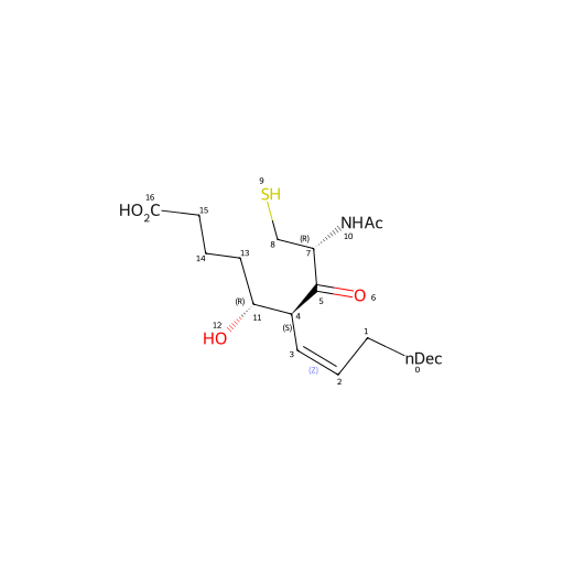 CCCCCCCCCCC/C=C\[C@H](C(=O)[C@H](CS)NC(C)=O)[C@H](O)CCCC(=O)O